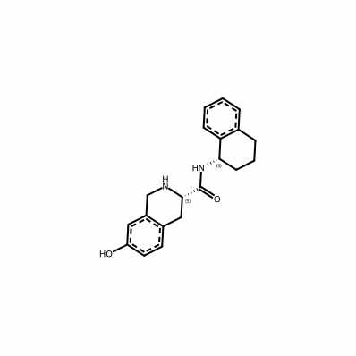 O=C(N[C@H]1CCCc2ccccc21)[C@@H]1Cc2ccc(O)cc2CN1